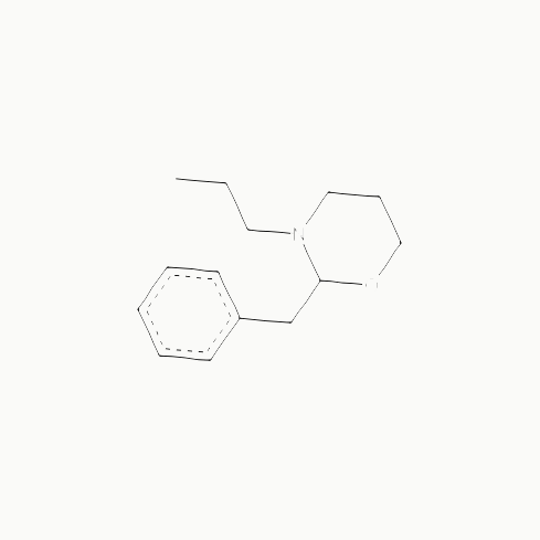 CCCN1CCCOC1Cc1ccccc1